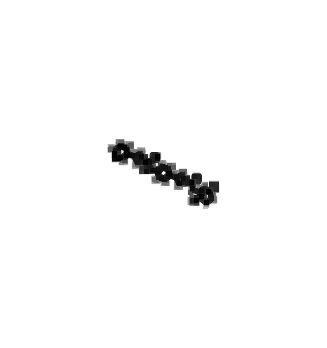 O=C(CC1C[C@H]2CC[C@H]1C2)N1CC(c2ccc(NC(=O)N3CC(c4cccnc4)C3)cc2)C1